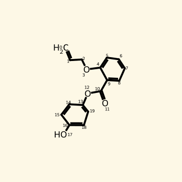 C=CCOc1ccccc1C(=O)Oc1ccc(O)cc1